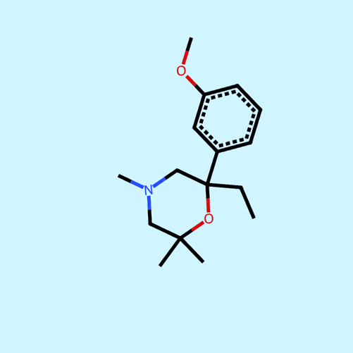 CCC1(c2cccc(OC)c2)CN(C)CC(C)(C)O1